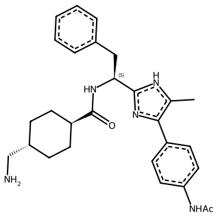 CC(=O)Nc1ccc(-c2nc([C@H](Cc3ccccc3)NC(=O)[C@H]3CC[C@H](CN)CC3)[nH]c2C)cc1